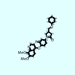 COc1ccc2c(Oc3ccc(N4CC(COc5ccccc5)CC4=O)cc3F)ccnc2c1OC